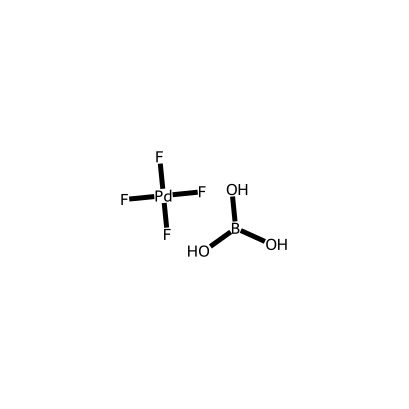 OB(O)O.[F][Pd]([F])([F])[F]